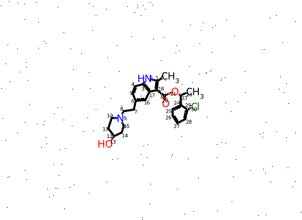 Cc1[nH]c2ccc(CCN3CCC(O)CC3)cc2c1C(=O)OC(C)c1ccccc1Cl